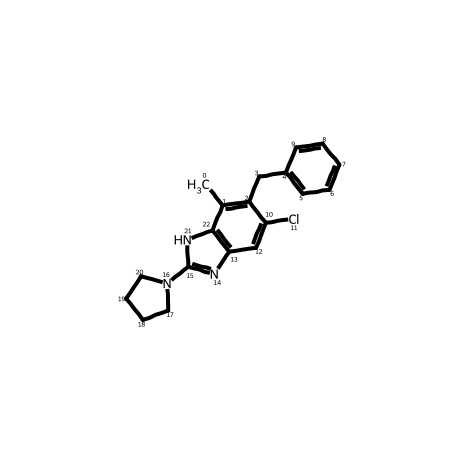 Cc1c(Cc2ccccc2)c(Cl)cc2nc(N3CCCC3)[nH]c12